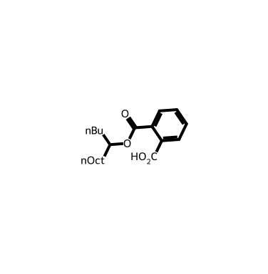 CCCCCCCCC(CCCC)OC(=O)c1ccccc1C(=O)O